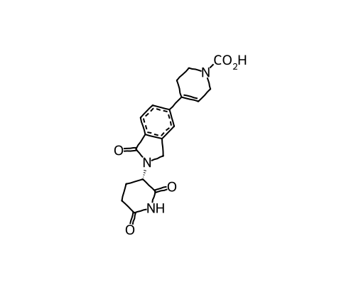 O=C1CC[C@H](N2Cc3cc(C4=CCN(C(=O)O)CC4)ccc3C2=O)C(=O)N1